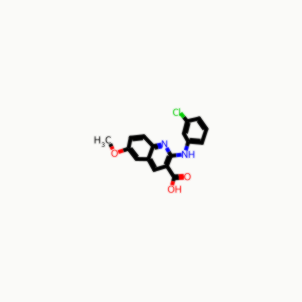 COc1ccc2nc(Nc3cccc(Cl)c3)c(C(=O)O)cc2c1